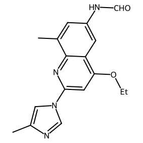 CCOc1cc(-n2cnc(C)c2)nc2c(C)cc(NC=O)cc12